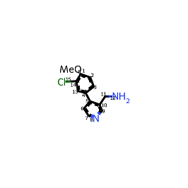 COc1ccc(-c2ccncc2CN)cc1Cl